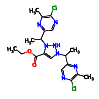 CCOC(=O)C1=CN(C(C)c2cnc(Cl)c(C)n2)NN1C(C)c1cnc(Cl)c(C)n1